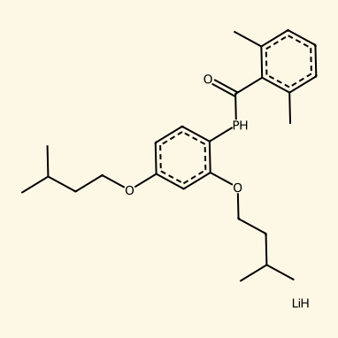 Cc1cccc(C)c1C(=O)Pc1ccc(OCCC(C)C)cc1OCCC(C)C.[LiH]